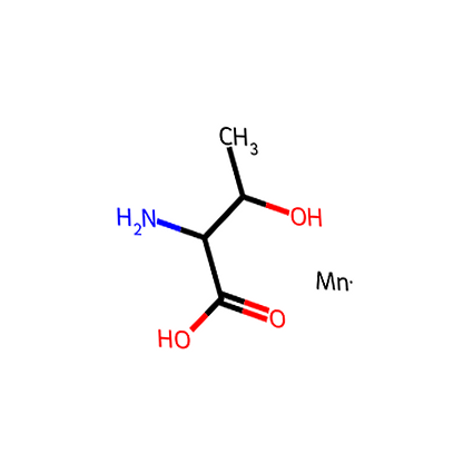 CC(O)C(N)C(=O)O.[Mn]